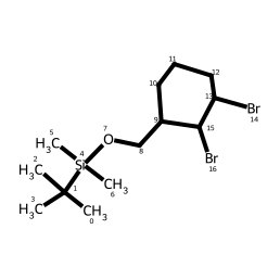 CC(C)(C)[Si](C)(C)OCC1CCCC(Br)C1Br